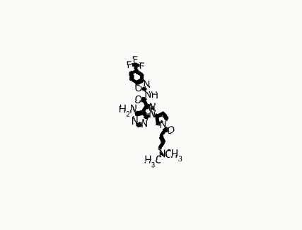 CN(C)C/C=C/C(=O)N1CCC(n2nc(C(=O)Nc3nc4cc(C(F)(F)F)ccc4o3)c3c(N)ncnc32)C1